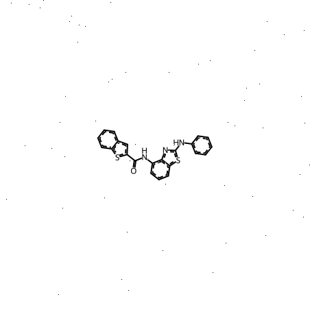 O=C(Nc1cccc2sc(Nc3ccccc3)nc12)c1cc2ccccc2s1